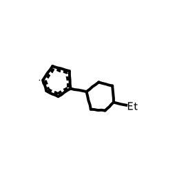 CCC1CCC(c2cc[c]cc2)CC1